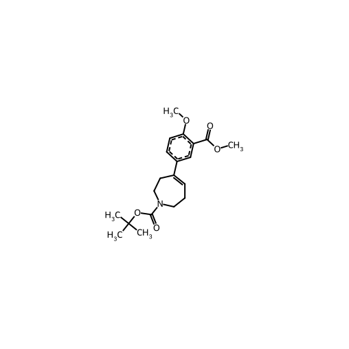 COC(=O)c1cc(C2=CCCN(C(=O)OC(C)(C)C)CC2)ccc1OC